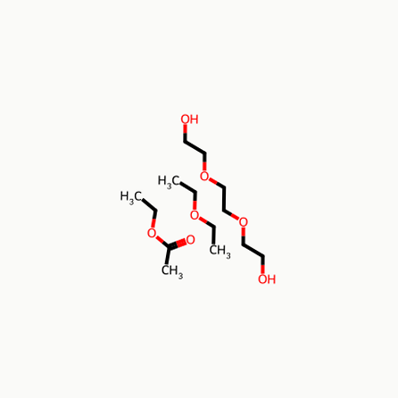 CCOC(C)=O.CCOCC.OCCOCCOCCO